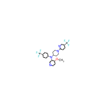 COc1ccncc1N(c1ccc(C(F)(F)F)cc1)C1CCN(c2ccc(C(F)(F)F)cn2)CC1